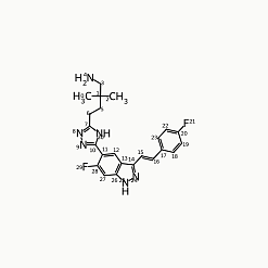 CC(C)(CN)CCc1nnc(-c2cc3c(C=Cc4ccc(F)cc4)n[nH]c3cc2F)[nH]1